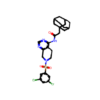 O=C(CC12CC3CC(CC(C3)C1)C2)Nc1ncnc2c1CCN(S(=O)(=O)c1cc(Cl)cc(Cl)c1)C2